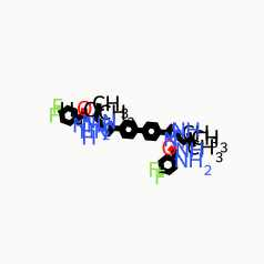 CC(C)(C)[C@H](NC(=O)C1(N)CCC(F)(F)CC1)c1nc(-c2ccc(-c3ccc(-c4c[nH]c([C@@H](NC(=O)C5(N)CCC(F)(F)CC5)C(C)(C)C)n4)cc3)cc2)c[nH]1